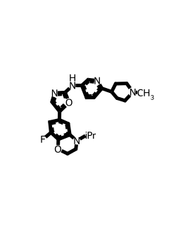 CC(C)N1CCOc2c(F)cc(-c3cnc(Nc4ccc(C5CCN(C)CC5)nc4)o3)cc21